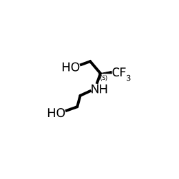 OCCN[C@@H](CO)C(F)(F)F